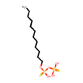 CCCCCCCCCCCCOP(O)(=S)OP(O)(O)=S